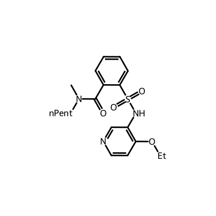 CCCCCN(C)C(=O)c1ccccc1S(=O)(=O)Nc1cnccc1OCC